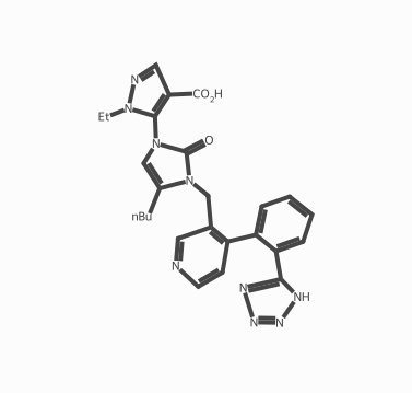 CCCCc1cn(-c2c(C(=O)O)cnn2CC)c(=O)n1Cc1cnccc1-c1ccccc1-c1nnn[nH]1